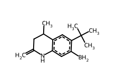 Bc1cc2c(cc1C(C)(C)C)C(C)CC(=C)N2